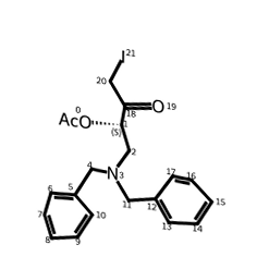 CC(=O)O[C@@H](CN(Cc1ccccc1)Cc1ccccc1)C(=O)CI